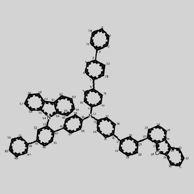 c1ccc(-c2ccc(-c3ccc(N(c4ccc(-c5cccc(-c6cccc7c6oc6ccccc67)c5)cc4)c4ccc(-c5ccc(-c6ccccc6)cc5-n5c6ccccc6c6ccccc65)cc4)cc3)cc2)cc1